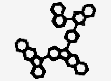 c1ccc2cc3c(cc2c1)c1ccccc1n3-c1ccc2c(c1)c1cc3ccccc3cc1n2-c1ccc(-c2nc3ccccc3nc2-c2cccc3ccccc23)cc1